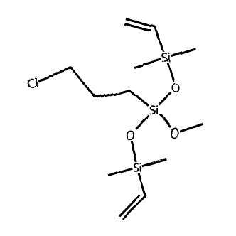 C=C[Si](C)(C)O[Si](CCCCl)(OC)O[Si](C)(C)C=C